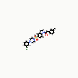 Cc1cccc(CC(=O)N2CCc3cc(S(=O)(=O)N4CCN(c5cccc(Cl)c5)CC4)ccc32)c1